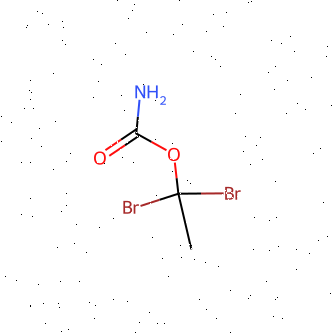 CC(Br)(Br)OC(N)=O